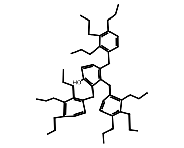 CCCc1ccc(Cc2ccc(O)c(Cc3ccc(CCC)c(CCC)c3CCC)c2Cc2ccc(CCC)c(CCC)c2CCC)c(CCC)c1CCC